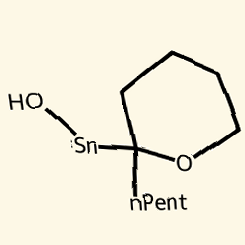 CCCCC[C]1([Sn][OH])CCCCO1